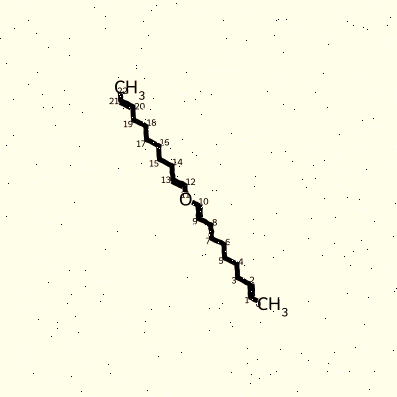 C/C=C/CCCCCC/C=C/O/C=C/CCCCCC/C=C/C